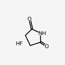 F.O=C1CCC(=O)N1